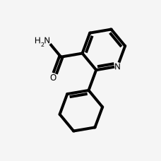 NC(=O)c1cccnc1C1=CCCCC1